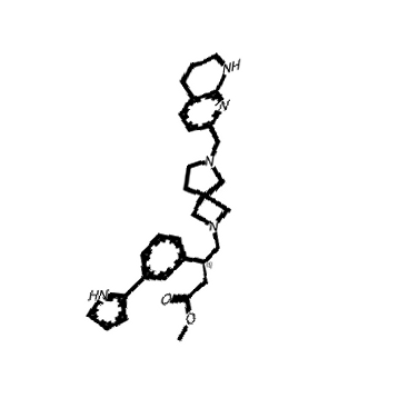 COC(=O)C[C@H](CN1CC2(CCN(Cc3ccc4c(n3)NCCC4)C2)C1)c1cccc(-c2ccc[nH]2)c1